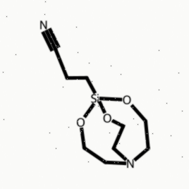 N#CCC[Si]12OCCN(CCO1)CCO2